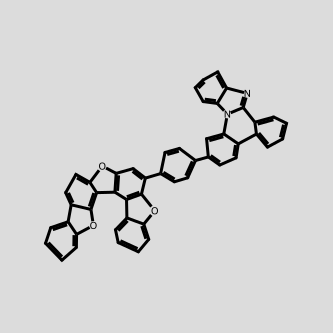 c1ccc2c(c1)nc1c3ccccc3c3ccc(-c4ccc(-c5cc6oc7ccc8c9ccccc9oc8c7c6c6c5oc5ccccc56)cc4)cc3n21